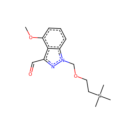 COc1cccc2c1c(C=O)nn2COCC[Si](C)(C)C